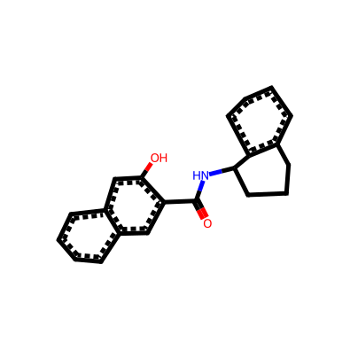 O=C(NC1CCCc2ccccc21)c1cc2ccccc2cc1O